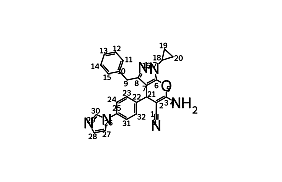 N#CC1=C(N)Oc2c(c(Cc3ccccc3)nn2C2CC2)C1c1ccc(-n2ccnc2)cc1